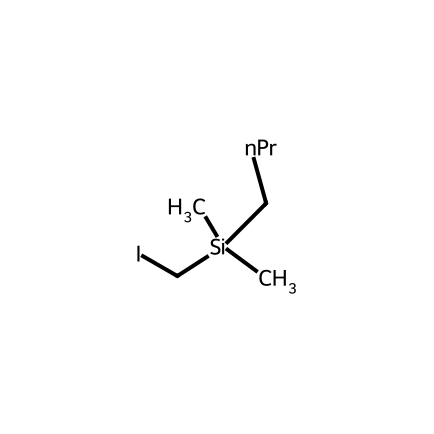 CCCC[Si](C)(C)CI